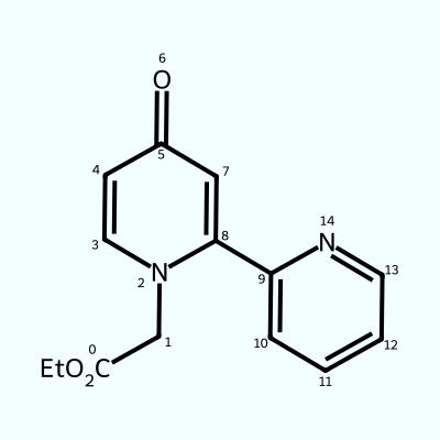 CCOC(=O)Cn1ccc(=O)cc1-c1ccccn1